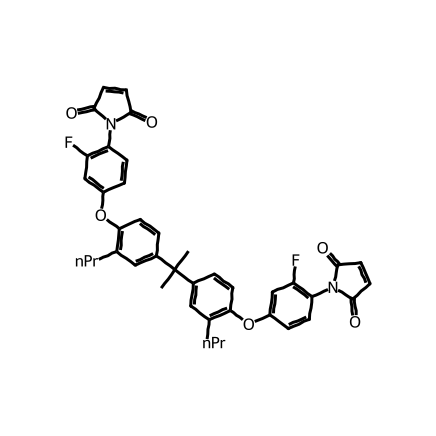 CCCc1cc(C(C)(C)c2ccc(Oc3ccc(N4C(=O)C=CC4=O)c(F)c3)c(CCC)c2)ccc1Oc1ccc(N2C(=O)C=CC2=O)c(F)c1